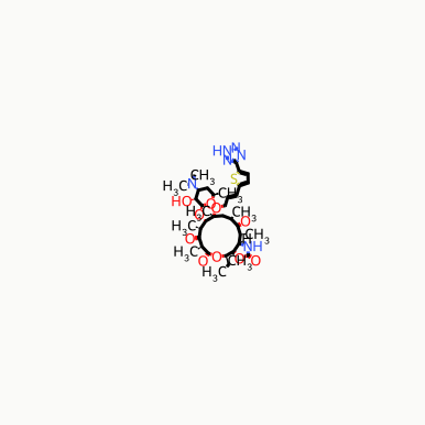 CC[C@H]1OC(=O)[C@H](C)C(=O)[C@H](C)[C@@H](O[C@@H]2O[C@H](C)C[C@H](N(C)C)[C@H]2O)[C@@](C)(OCC=Cc2ccc(-c3nn[nH]n3)s2)C[C@@H](C)C(=O)[C@H](C)[C@H]2NC(=O)O[C@@]21C